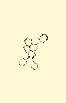 C(=C(/B(c1ccccc1)c1ccccc1)c1ccccc1)/c1cc(-c2ccccc2)c2ccccc2n1